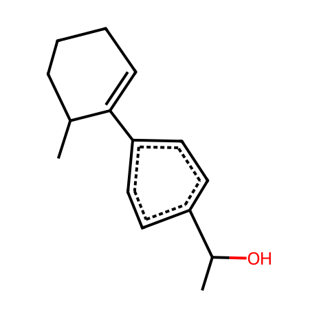 CC1CCCC=C1c1ccc(C(C)O)cc1